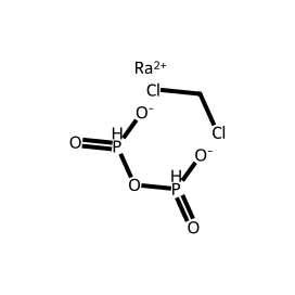 ClCCl.O=[PH]([O-])O[PH](=O)[O-].[Ra+2]